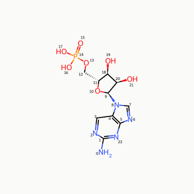 Nc1ncc2c(ncn2[C@H]2O[C@H](COP(=O)(O)O)[C@@H](O)[C@H]2O)n1